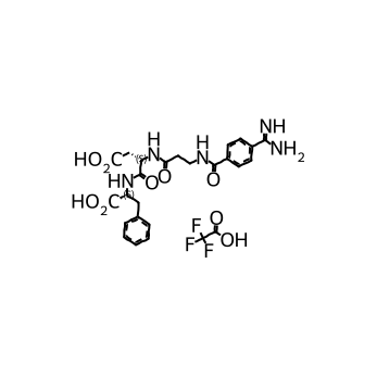 N=C(N)c1ccc(C(=O)NCCC(=O)N[C@@H](CC(=O)O)C(=O)N[C@@H](Cc2ccccc2)C(=O)O)cc1.O=C(O)C(F)(F)F